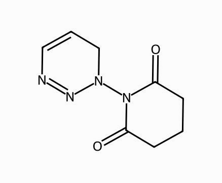 O=C1CCCC(=O)N1N1CC=CN=N1